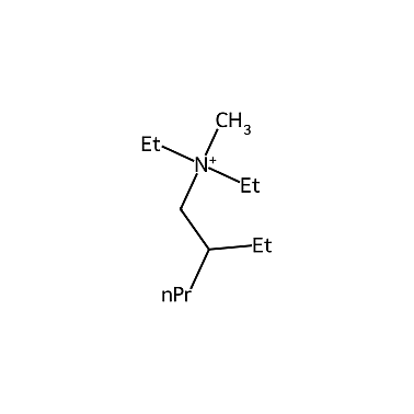 CCCC(CC)C[N+](C)(CC)CC